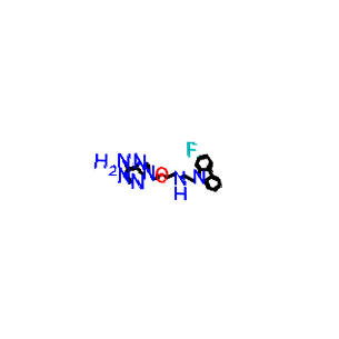 Nc1ncnc2c1ncn2COCCNCCn1c2ccccc2c2ccc(F)cc21